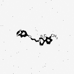 Cc1cccc(C2CCN(CCCOc3ccc4scnc4c3)CC2)c1C